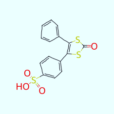 O=c1sc(-c2ccccc2)c(-c2ccc(S(=O)(=O)O)cc2)s1